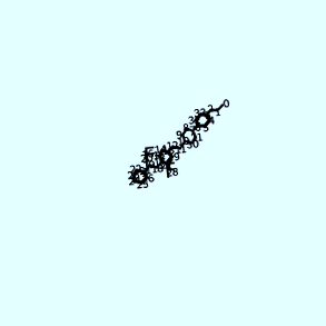 CCCc1ccc(C2CCC(CCc3cc(F)c(C[C@H](C)c4ccccc4)c(F)c3)CC2)cc1